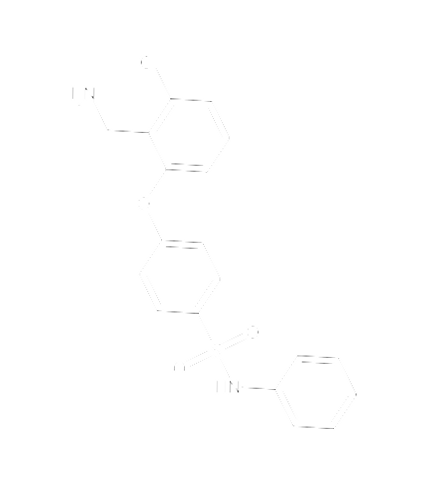 NCc1c(Cl)cccc1Oc1ccc(S(=O)(=O)Nc2ccccc2)cc1